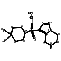 Cl.Cl.O=S(=O)(c1cnn2c1CNCC2)N1CCC(F)(F)CC1